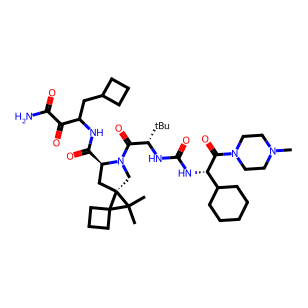 CN1CCN(C(=O)[C@@H](NC(=O)N[C@H](C(=O)N2C[C@]3(C[C@H]2C(=O)NC(CC2CCC2)C(=O)C(N)=O)C(C)(C)C32CCC2)C(C)(C)C)C2CCCCC2)CC1